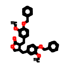 [13CH3]Oc1cc(CC2COC(=O)C2Cc2ccc(OCc3ccccc3)c(O[13CH3])c2)ccc1OCc1ccccc1